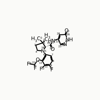 CC1(C)CCN(c2ccc(F)c(F)c2OC(F)F)[C@H]1C(=O)Nc1cn[nH]c(=O)c1